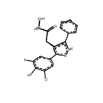 O=C(Cc1c(-c2cc(F)c(O)c(Cl)c2)n[nH]c1-c1ccccc1)NO